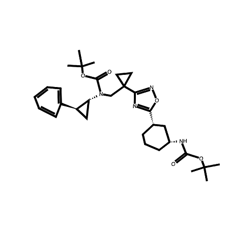 CC(C)(C)OC(=O)N[C@@H]1CCC[C@H](c2nc(C3(CN(C(=O)OC(C)(C)C)[C@@H]4C[C@H]4c4ccccc4)CC3)no2)C1